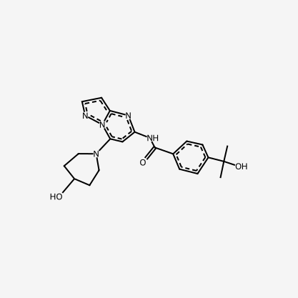 CC(C)(O)c1ccc(C(=O)Nc2cc(N3CCC(O)CC3)n3nccc3n2)cc1